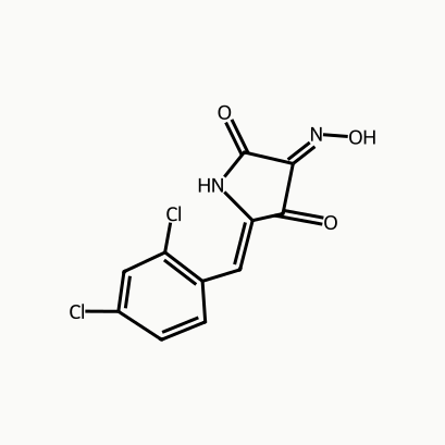 O=C1NC(=Cc2ccc(Cl)cc2Cl)C(=O)C1=NO